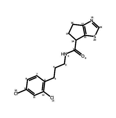 O=C(NCCCc1ccc(Cl)cc1Cl)C1CCc2ncsc21